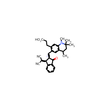 CC1CC(C)(C)N(C)c2cc(CCC(=O)O)c(/C=C3\C(=O)c4ccccc4C3=C(C#N)C#N)cc21